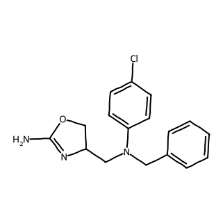 NC1=NC(CN(Cc2ccccc2)c2ccc(Cl)cc2)CO1